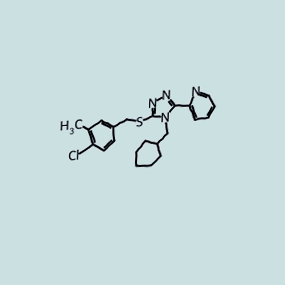 Cc1cc(CSc2nnc(-c3ccccn3)n2CC2CCCCC2)ccc1Cl